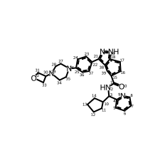 O=C(NC(c1ccccn1)C1CCCC1)c1ccc2[nH]nc(-c3ccc(N4CCN(C5COC5)CC4)cc3)c2c1